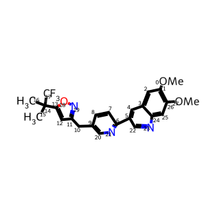 COc1cc2cc(-c3ccc(Cc4cc(C(C)(C)C(F)(F)F)on4)cn3)cnc2cc1OC